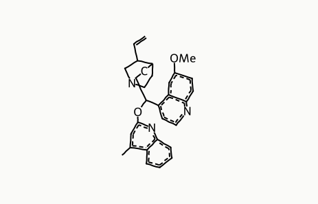 C=CC1CN2CCC1CC2C(Oc1cc(C)c2ccccc2n1)c1ccnc2ccc(OC)cc12